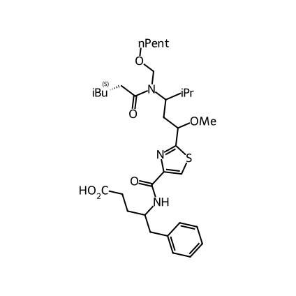 CCCCCOCN(C(=O)C[C@@H](C)CC)C(CC(OC)c1nc(C(=O)NC(CCC(=O)O)Cc2ccccc2)cs1)C(C)C